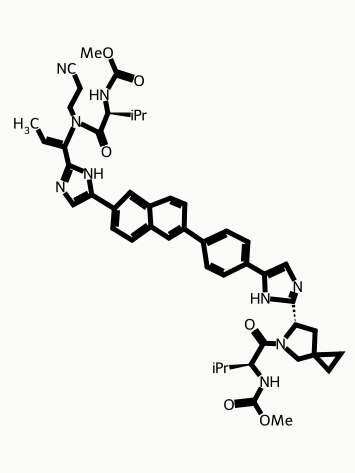 C/C=C(/c1ncc(-c2ccc3cc(-c4ccc(-c5cnc([C@@H]6CC7(CC7)CN6C(=O)[C@@H](NC(=O)OC)C(C)C)[nH]5)cc4)ccc3c2)[nH]1)N(CCC#N)C(=O)[C@@H](NC(=O)OC)C(C)C